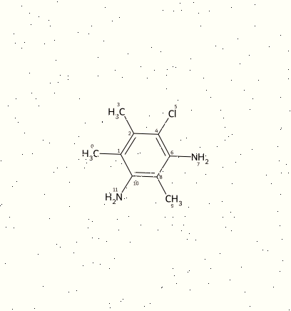 Cc1c(C)c(Cl)c(N)c(C)c1N